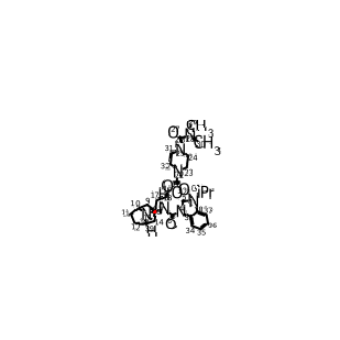 CC(C)n1c(=O)n(C(=O)N[C@@H]2CC3CC[C@@H](C2)N3CCCOC(=O)N2CCN(C(=O)N(C)C)CC2)c2ccccc21